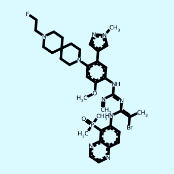 C=N/C(=N\C(Nc1ccc2nccnc2c1P(C)(C)=O)=C(/C)Br)Nc1cc(-c2cnn(C)c2)c(N2CCC3(CCN(CCF)CC3)CC2)cc1OC